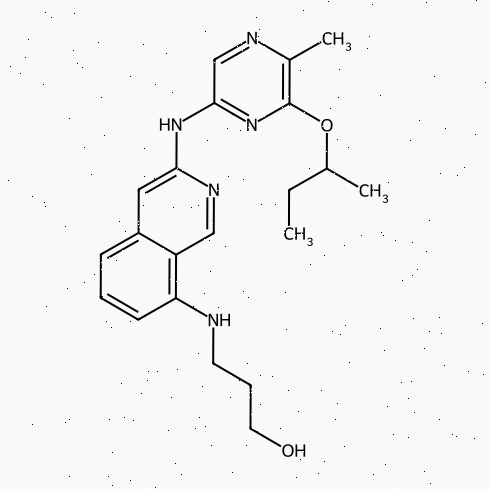 CCC(C)Oc1nc(Nc2cc3cccc(NCCCO)c3cn2)cnc1C